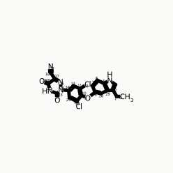 CCc1c[nH]c2ccc(Oc3c(Cl)cc(-n4nc(C#N)c(=O)[nH]c4=O)cc3Cl)cc12